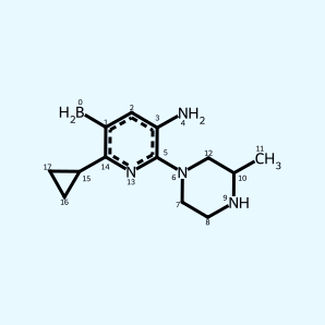 Bc1cc(N)c(N2CCNC(C)C2)nc1C1CC1